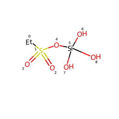 CCS(=O)(=O)O[Si](O)(O)O